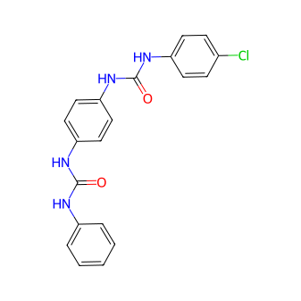 O=C(Nc1ccccc1)Nc1ccc(NC(=O)Nc2ccc(Cl)cc2)cc1